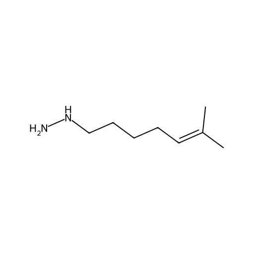 CC(C)=CCCCCNN